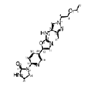 CCOCCn1cc(Nc2ncc(-c3ccc(N4CCNC4=O)nc3)o2)c(C)n1